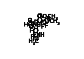 CC[C@@H](Nc1cc(F)c(C(=O)N[C@H](Cc2ccc(-c3c(C(F)(F)F)cc(C)n(C)c3=O)c3ncccc23)C(=O)O)c(F)c1)C(F)(F)F